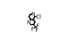 FC(F)(F)c1cnc2ccnc(Cl)c2c1